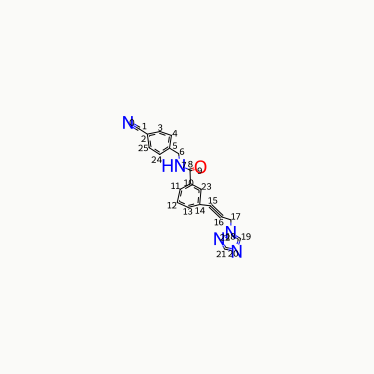 N#Cc1ccc(CNC(=O)c2cccc(C#CCn3cncn3)c2)cc1